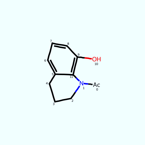 CC(=O)N1CCCc2cccc(O)c21